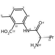 Cc1cccc(NC(=O)[C@@H](N)C(C)C)c1C(=O)O